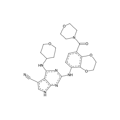 N#Cc1c[nH]c2nc(Nc3ccc(C(=O)N4CCOCC4)c4c3OCCO4)nc(NC3CCOCC3)c12